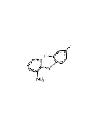 O=[N+]([O-])c1ccccc1Sc1ccc(F)cc1F